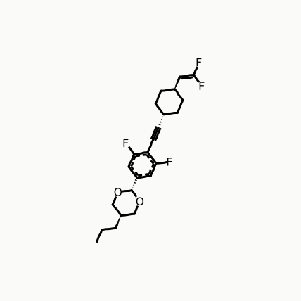 CCC[C@H]1CO[C@H](c2cc(F)c(C#C[C@H]3CC[C@H](C=C(F)F)CC3)c(F)c2)OC1